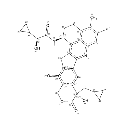 Cc1c(F)cc2nc3c(c4c2c1CC[C@@H]4NC(=O)[C@@H](O)C1CC1)Cn1c-3cc2c(c1=O)COC(=O)[C@]2(O)CC1CC1